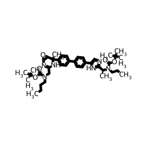 CCCCN(CC1=NC2OC2C(C)(c2ccc(-c3ccc(-c4cnc([C@H](C)N(CCC)C(=O)OC(C)(C)C)[nH]4)cc3)cc2)N1)C(=O)OC(C)(C)C